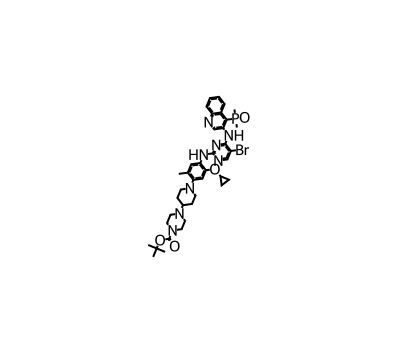 Cc1cc(Nc2ncc(Br)c(Nc3cnc4ccccc4c3P(C)(C)=O)n2)c(OC2CC2)cc1N1CCC(N2CCN(C(=O)OC(C)(C)C)CC2)CC1